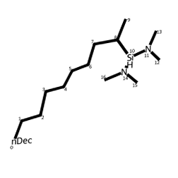 CCCCCCCCCCCCCCCCCC(C)[SiH](N(C)C)N(C)C